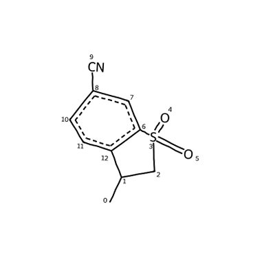 CC1CS(=O)(=O)c2cc(C#N)ccc21